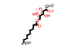 CCCCCCCCCCCCCCCCCC(=O)OC[C@@H](O)[C@H](O)[C@H](O)[C@@H](O)C=O